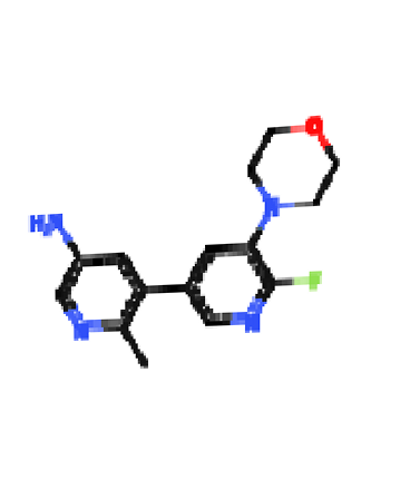 Cc1ncc(N)cc1-c1cnc(F)c(N2CCOCC2)c1